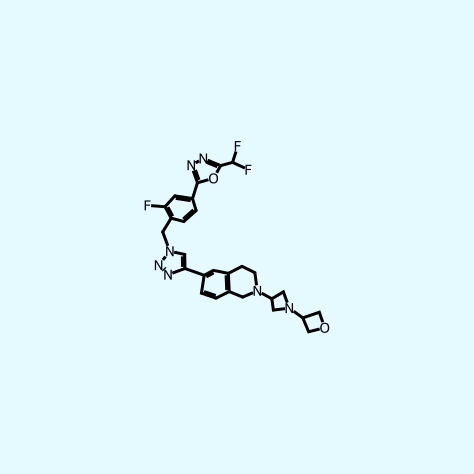 Fc1cc(-c2nnc(C(F)F)o2)ccc1Cn1cc(-c2ccc3c(c2)CCN(C2CN(C4COC4)C2)C3)nn1